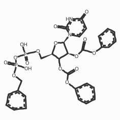 O=C(Oc1ccccc1)OC1[C@@H](COP(=O)(O)OP(=O)(O)OCc2ccccc2)O[C@@H](n2ccc(=O)[nH]c2=O)[C@H]1OC(=O)Oc1ccccc1